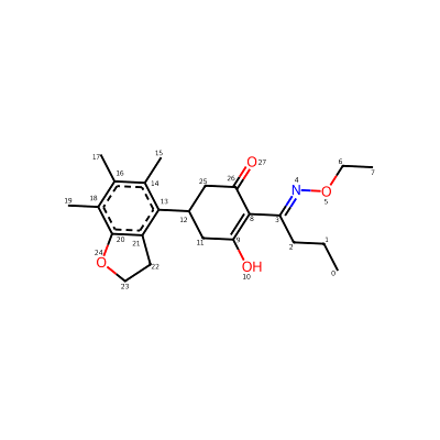 CCC/C(=N\OCC)C1=C(O)CC(c2c(C)c(C)c(C)c3c2CCO3)CC1=O